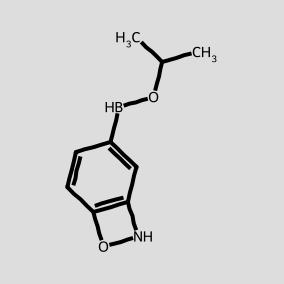 CC(C)OBc1ccc2o[nH]c2c1